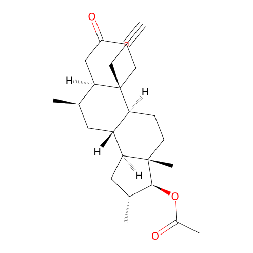 C#CC[C@]12CCC(=O)C[C@@H]1[C@H](C)C[C@H]1[C@@H]3C[C@@H](C)[C@H](OC(C)=O)[C@@]3(C)CC[C@@H]12